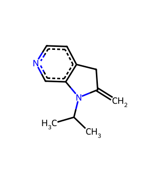 C=C1Cc2ccncc2N1C(C)C